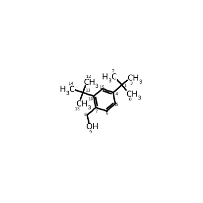 CC(C)(C)c1[c]cc(CO)c(C(C)(C)C)[c]1